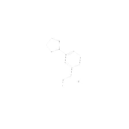 CC[C@@H](N)C1=CC(C2CCCC2)=CCC1